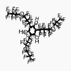 Oc1c(C(F)(F)C(F)(F)C(F)(F)OC(F)(F)C(F)(F)C(F)F)c(O)c(C(F)(F)C(F)(F)C(F)(F)OC(F)(F)C(F)(F)C(F)F)c(O)c1C(F)(F)C(F)(F)C(F)(F)OC(F)(F)C(F)(F)C(F)F